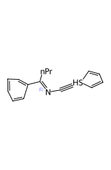 CCC/C(=N\C#C[SH]1C=CC=C1)c1ccccc1